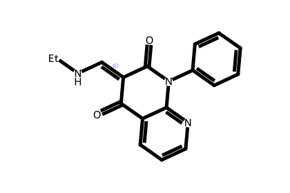 CCN/C=C1\C(=O)c2cccnc2N(c2ccccc2)C1=O